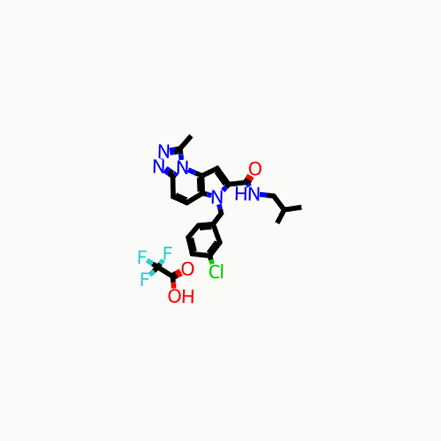 Cc1nnc2ccc3c(cc(C(=O)NCC(C)C)n3Cc3cccc(Cl)c3)n12.O=C(O)C(F)(F)F